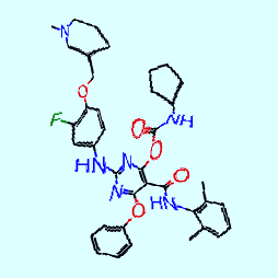 Cc1cccc(C)c1NC(=O)c1c(OC(=O)NC2CCCC2)nc(Nc2ccc(OCC3CCCN(C)C3)c(F)c2)nc1Oc1ccccc1